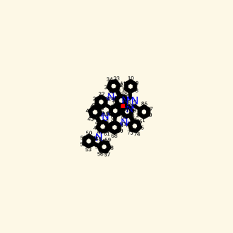 c1ccc(-c2nc(-c3ccccc3)nc(-c3cc(-c4ccccc4-n4c5ccccc5c5ccccc54)c(-n4c5ccccc5c5cc(-n6c7ccccc7c7ccccc76)ccc54)c(-c4ccccc4-n4c5ccccc5c5ccccc54)c3)n2)cc1